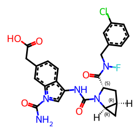 NC(=O)n1cc(NC(=O)N2[C@@H]3C[C@@H]3C[C@H]2C(=O)N(F)Cc2cccc(Cl)c2)c2ccc(CC(=O)O)cc21